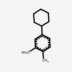 COc1cc(C2CCCCC2)ccc1C